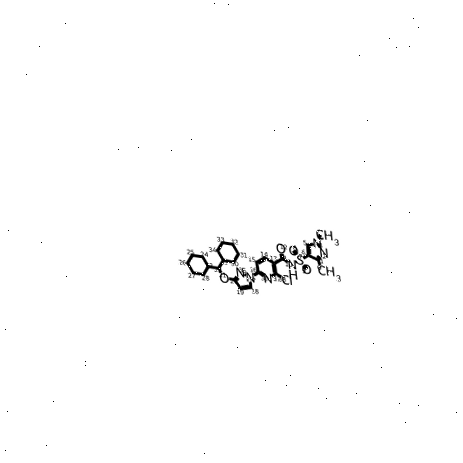 Cc1nn(C)cc1S(=O)(=O)NC(=O)c1ccc(-n2ccc(OC(C3CCCCC3)C3CCCCC3)n2)nc1Cl